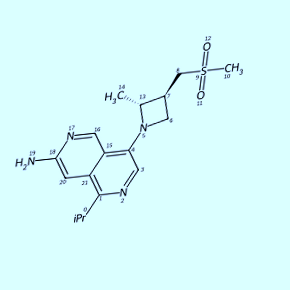 CC(C)c1ncc(N2C[C@H](CS(C)(=O)=O)[C@H]2C)c2cnc(N)cc12